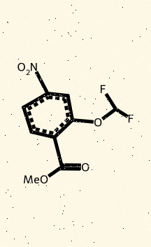 COC(=O)c1ccc([N+](=O)[O-])cc1OC(F)F